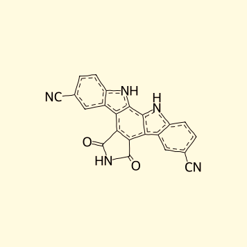 N#Cc1ccc2[nH]c3c4[nH]c5ccc(C#N)cc5c4c4c(c3c2c1)C(=O)NC4=O